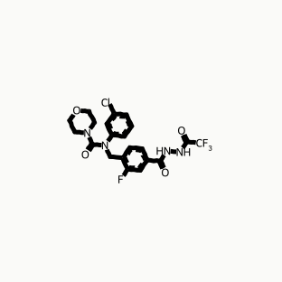 O=C(NNC(=O)C(F)(F)F)c1ccc(CN(C(=O)N2CCOCC2)c2cccc(Cl)c2)c(F)c1